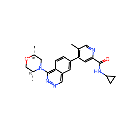 Cc1cnc(C(=O)NC2CC2)cc1-c1ccc2c(N3C[C@@H](C)OC[C@H]3C)nncc2c1